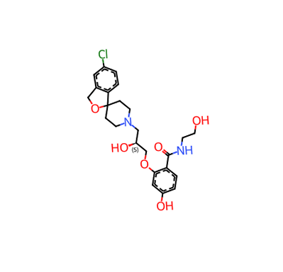 O=C(NCCO)c1ccc(O)cc1OC[C@@H](O)CN1CCC2(CC1)OCc1cc(Cl)ccc12